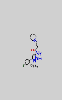 Cc1cc(Cl)ccc1-c1cc(NC(=O)CCCN2CCCCCC2)[nH]n1